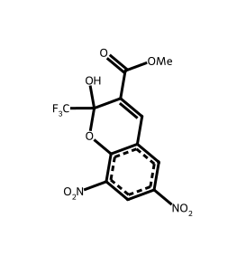 COC(=O)C1=Cc2cc([N+](=O)[O-])cc([N+](=O)[O-])c2OC1(O)C(F)(F)F